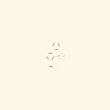 NC(=O)Nc1ccc(Br)c(-c2cccc(Br)c2)c1-c1nnn[nH]1